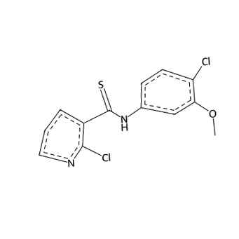 COc1cc(NC(=S)c2cccnc2Cl)ccc1Cl